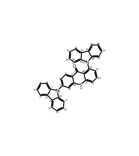 O=c1c2ccc(-n3c4ccccc4c4ccccc43)cc2sc2cccc(-n3c4ccccc4c4ccccc43)c12